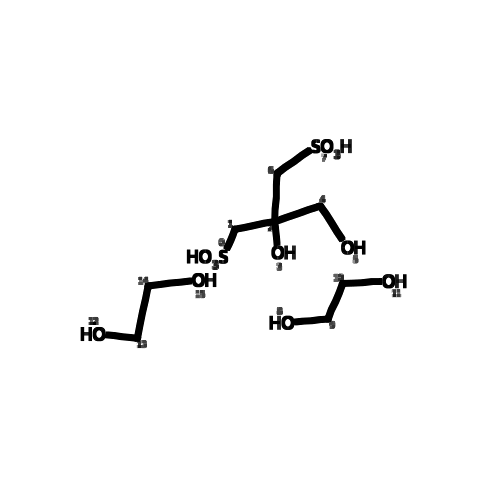 O=S(=O)(O)CC(O)(CO)CS(=O)(=O)O.OCCO.OCCO